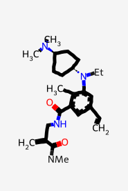 C=Cc1cc(C(=O)NCC(=C)C(=O)NC)c(C)c(N(CC)[C@H]2CC[C@H](N(C)C)CC2)c1